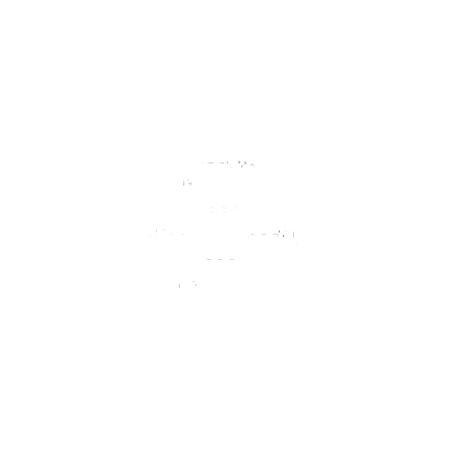 COC.Nc1cc(O)c(O)c(Br)c1